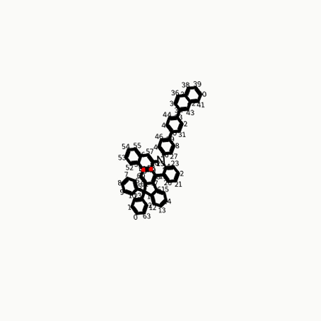 c1ccc(C2(c3ccccc3)c3ccccc3-c3c(-c4ccccc4N(c4ccc(-c5ccc(-c6ccc7ccccc7c6)cc5)cc4)c4ccc5ccccc5c4)cccc32)cc1